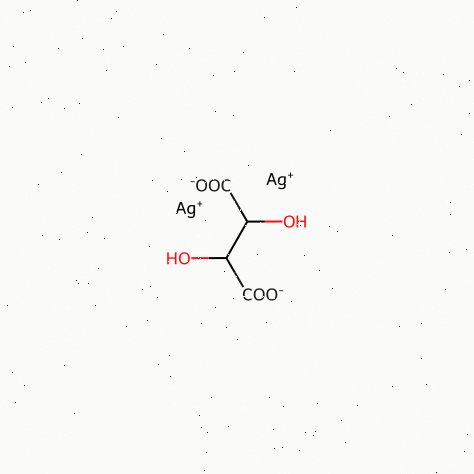 O=C([O-])C(O)C(O)C(=O)[O-].[Ag+].[Ag+]